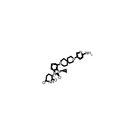 Nc1ccc(N2CCC3(CC2)CCN(c2cccc4c2n(C2CC2)c(=O)n4[C@@H]2CCC(=O)NC2=O)CC3)cn1